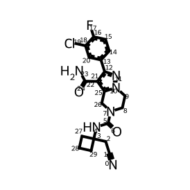 N#CCC1(NC(=O)N2CCn3nc(-c4ccc(F)c(Cl)c4)c(C(N)=O)c3C2)CCC1